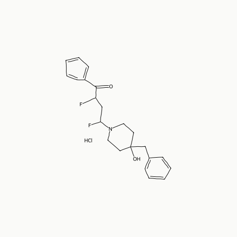 Cl.O=C(c1ccccc1)C(F)CC(F)N1CCC(O)(Cc2ccccc2)CC1